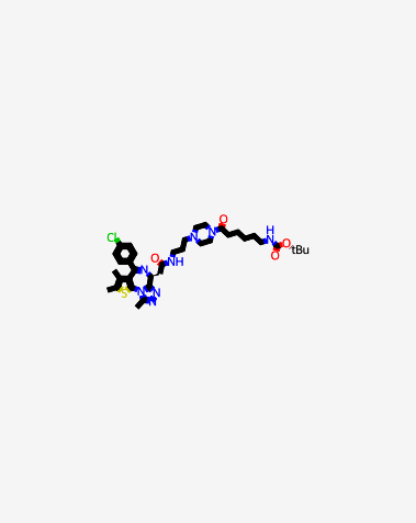 Cc1sc2c(c1C)C(c1ccc(Cl)cc1)=N[C@H](CC(=O)NCCCN1CCN(C(=O)CCCCCNC(=O)OC(C)(C)C)CC1)c1nnc(C)n1-2